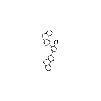 Clc1ccc(-c2ccc3c(ccc4ccccc43)c2)cc1-c1ccc2ccc3ccccc3c2c1